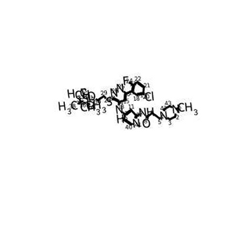 CN1CCN(CCC(=O)Nc2cc(Nc3cc(-c4cc(Cl)ccc4F)nnc3SCCO[Si](C)(C)C(C)(C)C)ccn2)CC1